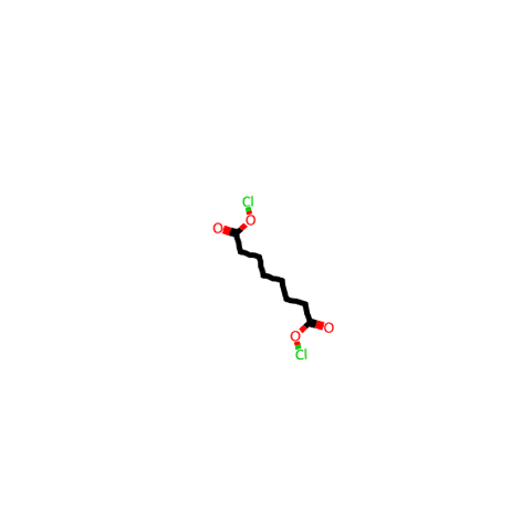 O=C(CCCCCCC(=O)OCl)OCl